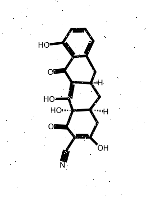 N#CC1=C(O)C[C@@H]2C[C@@H]3Cc4cccc(O)c4C(=O)C3=C(O)[C@]2(O)C1=O